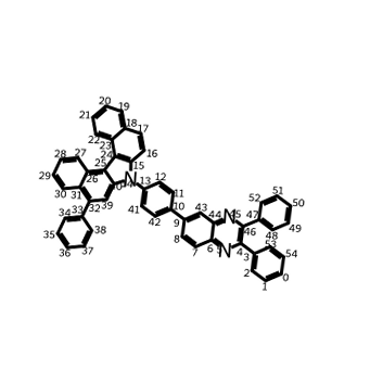 c1ccc(-c2nc3ccc(-c4ccc(-n5c6ccc7ccccc7c6c6c7ccccc7c(-c7ccccc7)cc65)cc4)cc3nc2-c2ccccc2)cc1